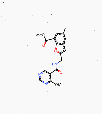 COC(=O)c1cc(C)cc2cc(CNC(=O)c3cncnc3OC)oc12